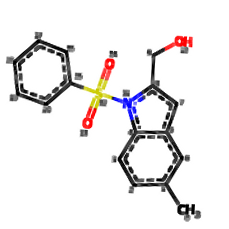 Cc1ccc2c(c1)cc(CO)n2S(=O)(=O)c1ccccc1